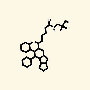 CCC(BCC(C)(C)C(C)(C)C)CCCCC(C)C1CC2CC3CCCC3C2C(C2CCCCC2)C1C1CCCCC1C